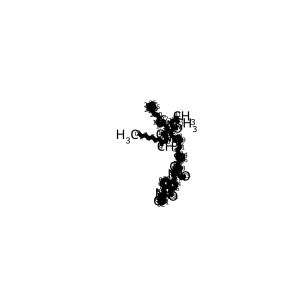 CCCCCCCCC(C)CN1C(=O)C2=C(c3ccc(/C=C/c4cccs4)s3)N(CC(C)C)C(=O)C2=C1c1ccc(/C=C/c2ccc(-c3cc4c(nc(-c5ccc6c(=O)n7c8ccoc8nc7c7cccc5c67)n4C=O)o3)s2)s1